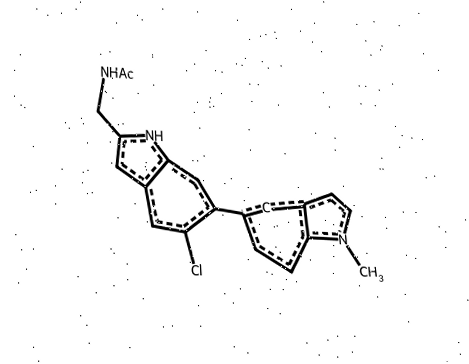 CC(=O)NCc1cc2cc(Cl)c(-c3ccc4c(ccn4C)c3)cc2[nH]1